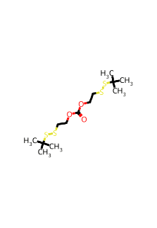 CC(C)(C)SSCCOC(=O)OCCSSC(C)(C)C